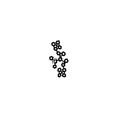 c1ccc(-c2cc(-c3cc(-n4c5ccccc5c5cc(-c6ccc7c(c6)C6(c8ccccc8-c8ccccc86)c6ccccc6-7)ccc54)cc(-n4c5ccccc5c5cc(-c6ccc7c(c6)C6(c8ccccc8-c8ccccc86)c6ccccc6-7)ccc54)c3)nc(-c3ccccc3)n2)cc1